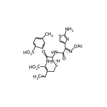 C=CC1=C(C(=O)O)N2C(=O)C(NC(=O)/C(=N/OC(C)=O)c3csc(N)n3)[C@H]2SC1.Cc1ccc(S(=O)(=O)O)cc1